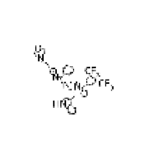 O=C(c1cc(C(F)(F)F)cc(C(F)(F)F)c1)N1CCN(C/C(=N/OCCCN2CCOCC2)c2ccccc2)C[C@H]1Cc1c[nH]c2ccccc12